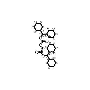 O=C(OOC(=O)OC(C1CCCCC1)C1CCCCC1)OC(C1CCCCC1)C1CCCCC1